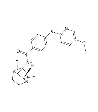 COc1ccc(Sc2ccc(C(=O)N[C@@H]3C4CCN(CC4)[C@H]3C)cc2)nc1